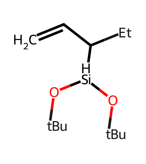 C=CC(CC)[SiH](OC(C)(C)C)OC(C)(C)C